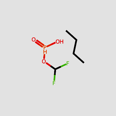 CCCC.O=[PH](O)OC(F)F